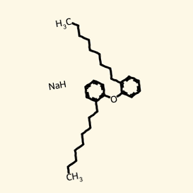 CCCCCCCCCc1ccccc1Oc1ccccc1CCCCCCCCC.[NaH]